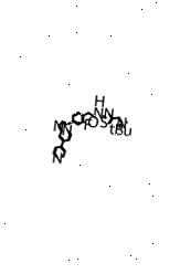 CN(C)Cc1nc(NC(=O)Cc2ccc(-c3cnc4cc(-c5ccncc5)ccn34)cc2F)sc1C(C)(C)C